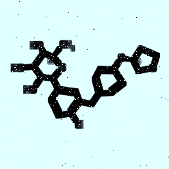 C[C@H]1OC(c2ccc(Cl)c(Cc3ccc(O[C@H]4CCOC4)cc3)c2)C(O)C(O)C1O